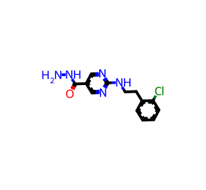 NNC(=O)c1cnc(NCCc2ccccc2Cl)nc1